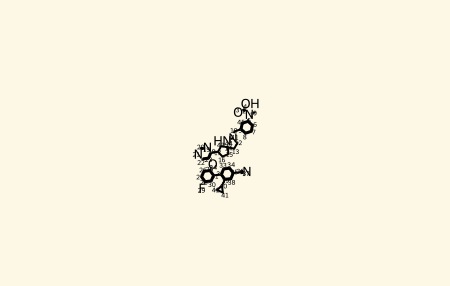 CN(C(=O)O)c1cccc(CN2CCC3(CCC(c4ncncc4Oc4ccc(F)cc4-c4ccc(C#N)cc4C4CC4)C3)N2)c1